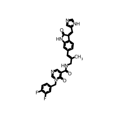 C/C(=C\c1ccc2c(c1)NC(=O)/C2=C\c1cnc[nH]1)CNC(=O)c1cncn(Cc2ccc(F)c(F)c2)c1=O